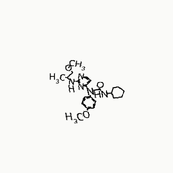 COCC(C)Nc1nccc(N(C(=O)NC2CCCCC2)c2ccc(OC)cc2)n1